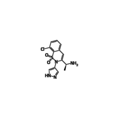 C[C@H](N)C1=Cc2cccc(Cl)c2S(=O)(=O)N1c1cn[nH]c1